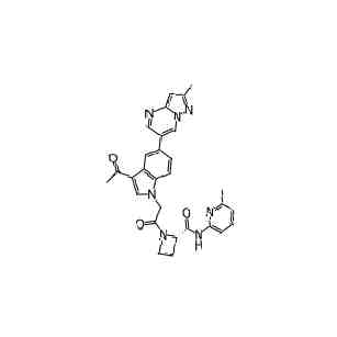 CC(=O)c1cn(CC(=O)N2CC[C@H]2C(=O)Nc2cccc(C)n2)c2ccc(-c3cnc4cc(C)nn4c3)cc12